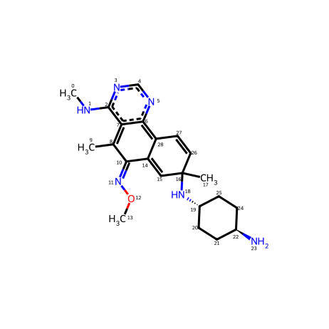 CNc1ncnc2c1=C(C)/C(=N/OC)C1=CC(C)(N[C@H]3CC[C@H](N)CC3)C=CC=21